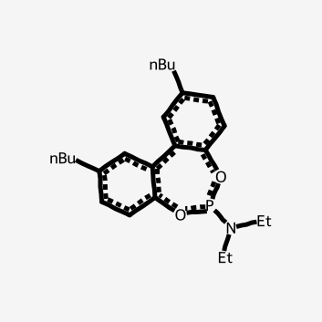 CCCCc1ccc2op(N(CC)CC)oc3ccc(CCCC)cc3c2c1